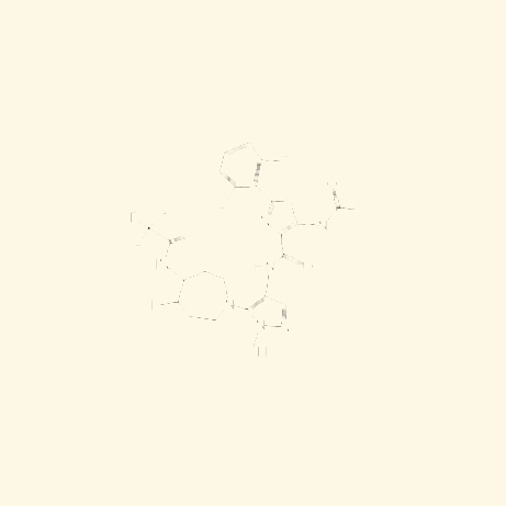 Cn1ncc(NC(=O)c2nc(-c3c(F)cccc3F)sc2NC(=O)O)c1N1CCC(F)C(NC(=O)C(F)(F)F)CC1